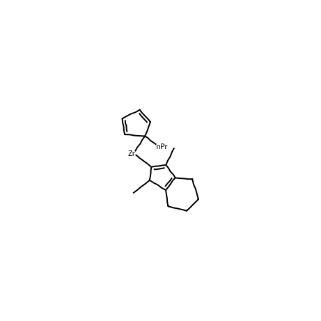 CCC[C]1([Zr][C]2=C(C)C3=C(CCCC3)C2C)C=CC=C1